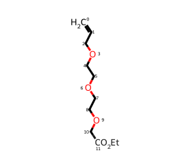 C=CCOCCOCCOCC(=O)OCC